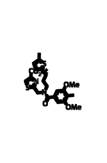 CCOC(=O)c1csc(CN(CCCc2ccc(C)s2)C(=O)c2cc(OC)c(C)c(OC)c2)n1